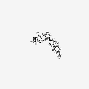 Cc1nc2nc(C)c(CC3CCN(c4cnc(-c5ccc(C=O)cc5C)nc4)C3)c(C)n2n1